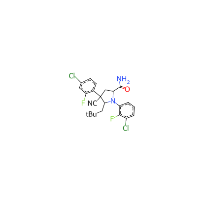 CC(C)(C)CC1N(c2cccc(Cl)c2F)C(C(N)=O)CC1(C#N)c1ccc(Cl)cc1F